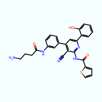 N#Cc1c(-c2cccc(NC(=O)CCCN)c2)cc(-c2ccccc2O)nc1NC(=O)c1cccs1